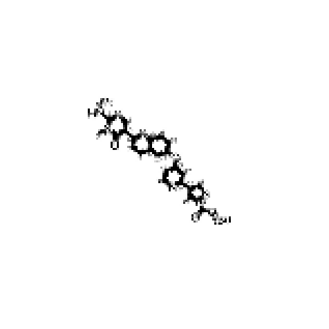 CC(C)Nc1ncc(-c2ccc3cc(Oc4ccnc(-c5cnn(C(=O)OC(C)(C)C)c5)c4)ccc3n2)c(=O)n1C